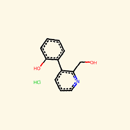 Cl.OCc1ncccc1-c1ccccc1O